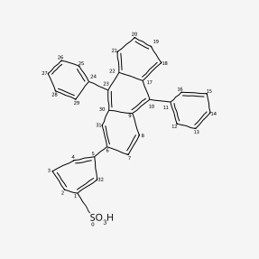 O=S(=O)(O)c1cccc(-c2ccc3c(-c4ccccc4)c4ccccc4c(-c4ccccc4)c3c2)c1